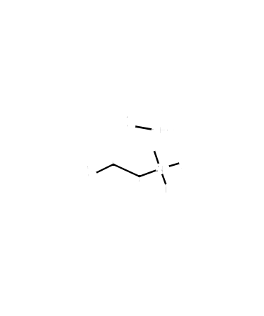 CC[N+](C)(CC)CCO.O=CO